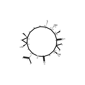 C=C(C)[C@@H]1C[C@@H]2C[C@]2(C)CCC[C@H](C)[C@H](O)[C@@H](C)C(=O)C(C)(C)[C@@H](O)CC(=O)O1